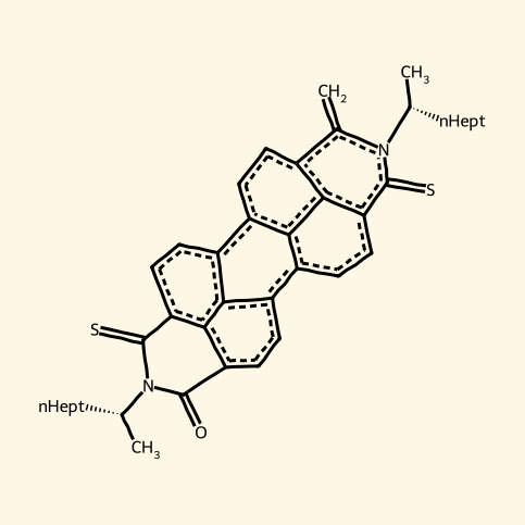 C=c1c2ccc3c4ccc5c6c(ccc(c7ccc(c(=S)n1[C@H](C)CCCCCCC)c2c37)c64)C(=O)N([C@H](C)CCCCCCC)C5=S